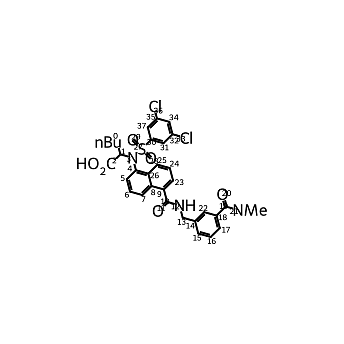 CCCCC(C(=O)O)N(c1cccc2c(C(=O)NCc3cccc(C(=O)NC)c3)cccc12)S(=O)(=O)c1cc(Cl)cc(Cl)c1